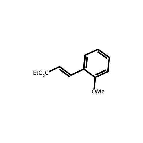 CCOC(=O)/C=C/c1ccccc1OC